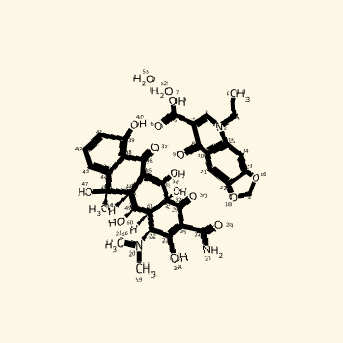 CCn1cc(C(=O)O)c(=O)c2cc3c(cc21)OCO3.CN(C)[C@@H]1C(O)=C(C(N)=O)C(=O)[C@@]2(O)C(O)=C3C(=O)c4c(O)cccc4[C@@](C)(O)[C@H]3[C@H](O)[C@@H]12.O.O